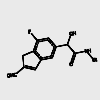 CCNC(=O)C(O)c1cc(F)c2c(c1)C=C(C=O)C2